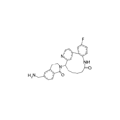 NCc1ccc2c(c1)CCN(C1CCCCC(=O)Nc3ccc(F)cc3-c3ccnc1c3)C2=O